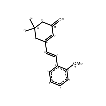 COc1ccccc1C=CC1=CC(=O)CC(C)(C)C1